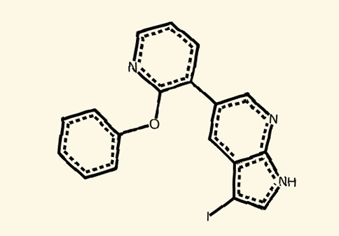 Ic1c[nH]c2ncc(-c3cccnc3Oc3ccccc3)cc12